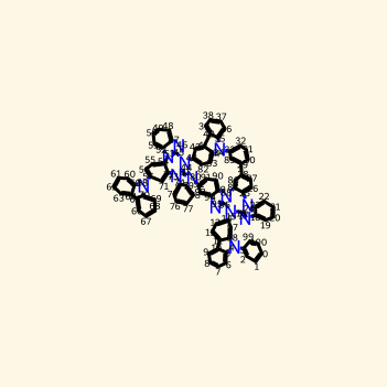 c1ccc(-n2c3ccccc3c3ccc(-n4c5nc6ccccc6n5c5ccc(-c6cccc(-n7c8ccccc8c8cc(-n9c%10nc%11ccccc%11n%10c%10ccc(-n%11c%12ccccc%12c%12ccccc%12%11)cc%10n%10c%11ccccc%11nc9%10)ccc87)c6)cc5n5c6ccccc6nc45)cc32)cc1